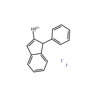 [Hf+2][C]1=Cc2ccccc2C1c1ccccc1.[I-].[I-]